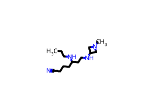 CCCNC(CCCC#N)CCNC1CN(C)C1